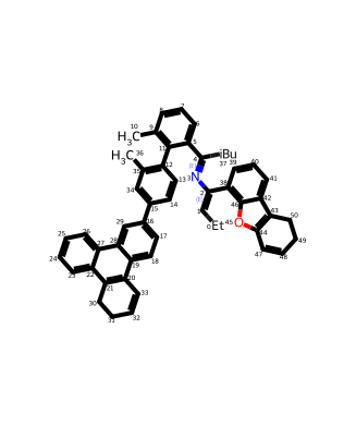 CC/C=C(/N=C(/c1cccc(C)c1-c1ccc(-c2ccc3c4c(c5ccccc5c3c2)CCC=C4)cc1C)C(C)CC)c1cccc2c3c(oc12)C=CCC3